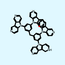 C1=Cc2c(c3cnccc3n2-c2cc(Cc3cc(-n4c5ccncc5c5cnccc54)cc(-n4c5ccncc5c5cnccc54)c3)cc(-n3c4ccncc4c4cnccc43)c2)CN1